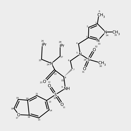 Cc1cc(CN(CC[C@H](NS(=O)(=O)c2ccc3occc3c2)C(=O)N(CC(C)C)CC(C)C)S(C)(=O)=O)nn1C